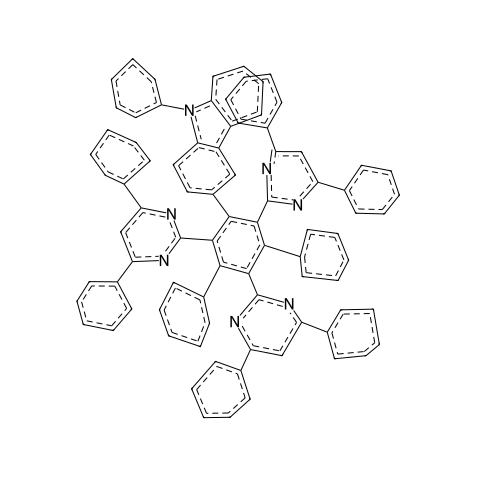 c1ccc(-c2cc(-c3ccccc3)nc(-c3c(-c4ccccc4)c(-c4nc(-c5ccccc5)cc(-c5ccccc5)n4)c(-c4ccc5c(c4)c4ccccc4n5-c4ccccc4)c(-c4nc(-c5ccccc5)cc(-c5ccccc5)n4)c3-c3ccccc3)n2)cc1